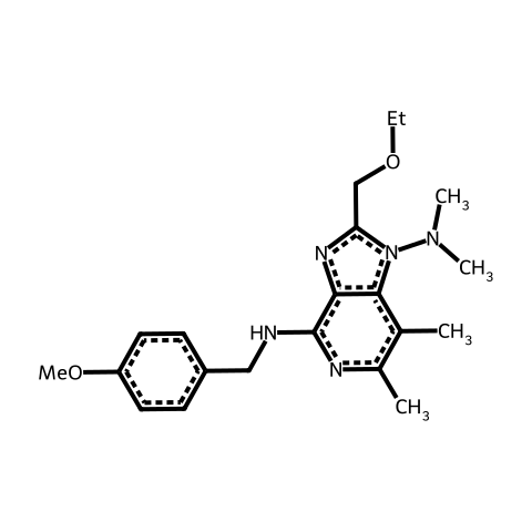 CCOCc1nc2c(NCc3ccc(OC)cc3)nc(C)c(C)c2n1N(C)C